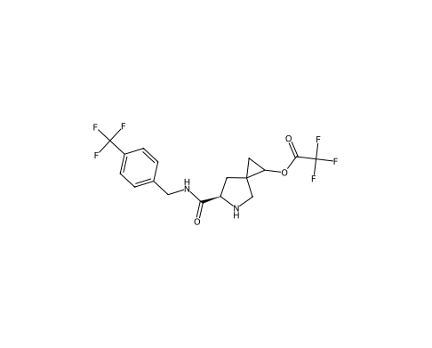 O=C(NCc1ccc(C(F)(F)F)cc1)[C@H]1CC2(CN1)CC2OC(=O)C(F)(F)F